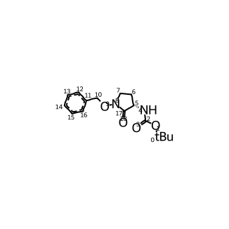 CC(C)(C)OC(=O)N[C@H]1CCN(OCc2ccccc2)C1=O